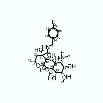 CN[C@@H]1[C@H](O)[C@H](NC)[C@H]2O[C@]3(O)[C@H](O[C@@H]2[C@H]1O)O[C@H](C)C[C@@]3(O)CNCc1ccc(F)cc1